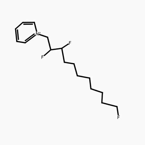 FCCCCCCCCC(F)C(F)C[n+]1ccccc1